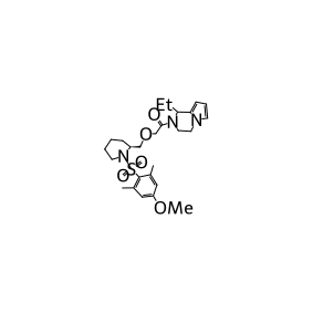 CCC1c2cccn2CCN1C(=O)COC[C@@H]1CCCCN1S(=O)(=O)c1c(C)cc(OC)cc1C